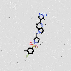 Cc1cc(S(=O)(=O)N2C[C@@H](Cn3ccc4nc(-c5cn[nH]c5)ccc43)C[C@@H]2C)ccc1F